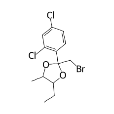 CCC1OC(CBr)(c2ccc(Cl)cc2Cl)OC1C